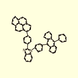 c1ccc(-c2c3ccccc3c(-c3ccc(-n4c(-c5ccc(-c6ccc7ccc8cccc9ccc6c7c89)cc5)nc5ccccc54)cc3)c3ccccc23)cc1